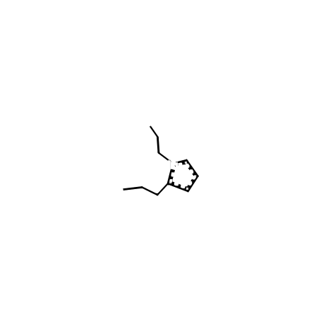 CCCc1cccn1CCC